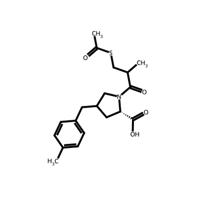 CC(=O)SCC(C)C(=O)N1CC(Cc2ccc(C)cc2)C[C@H]1C(=O)O